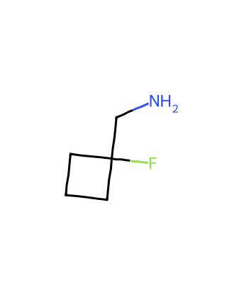 NCC1(F)CCC1